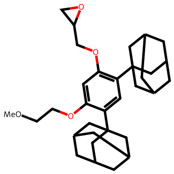 COCCOc1cc(OCC2CO2)c(C23CC4CC(CC(C4)C2)C3)cc1C12CC3CC(CC(C3)C1)C2